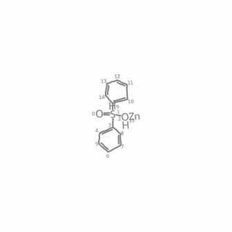 O=[SH](O)(c1ccccc1)c1ccccc1.[Zn]